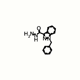 NNC(=O)c1nn(Cc2ccccc2)c2ccccc12